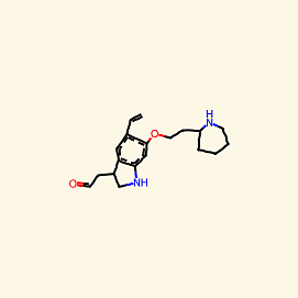 C=Cc1cc2c(cc1OCCC1CCCCN1)NCC2CC=O